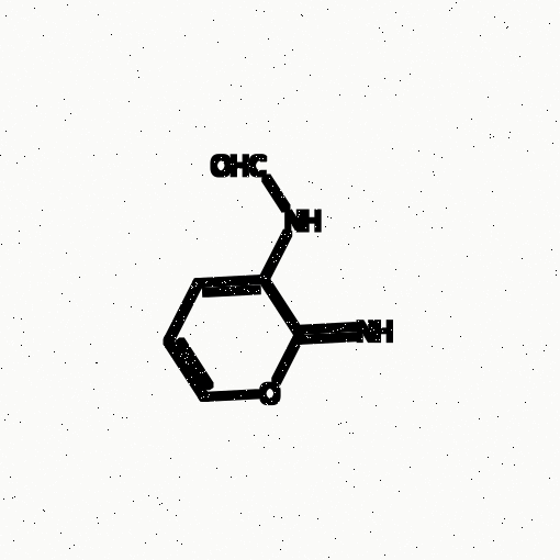 N=c1occcc1NC=O